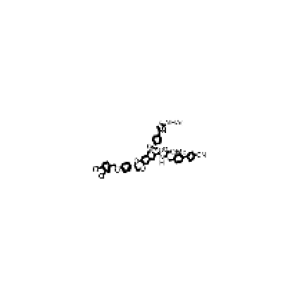 COC(=O)[C@H](Cc1ccc(-c2ccc(C#N)cc2)cc1)NC(=O)C1Cc2cc3c(cc2CN1S(=O)(=O)c1ccc(-c2csc(NC(C)=O)n2)cc1)O[C@@H](c1ccc(OCc2ccc(Cl)c(Cl)c2)cc1)CO3